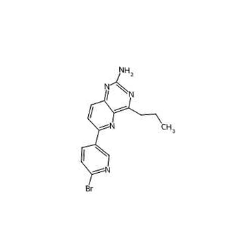 CCCc1nc(N)nc2ccc(-c3ccc(Br)nc3)nc12